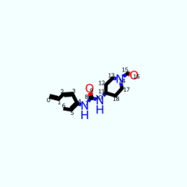 C=C/C=C\C(=C/C)NC(=O)NC1CCN(C=O)CC1